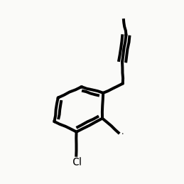 [CH2]c1c(Cl)cccc1CC#CC